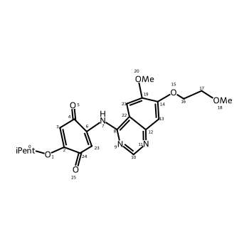 CCCC(C)OC1=CC(=O)C(Nc2ncnc3cc(OCCOC)c(OC)cc23)=CC1=O